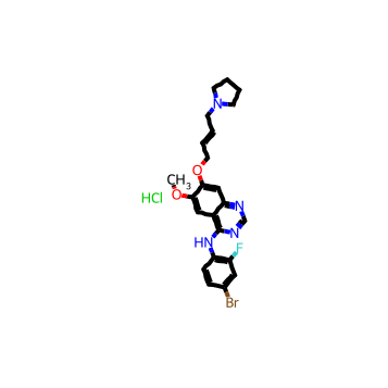 COc1cc2c(Nc3ccc(Br)cc3F)ncnc2cc1OC/C=C/CN1CCCC1.Cl